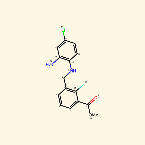 COC(=O)c1cccc(CNc2ccc(Cl)cc2N)c1F